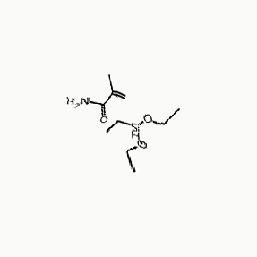 C=C(C)C(N)=O.CCO[SiH](CC)OCC